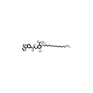 CCCCCCCCCCCCCCOc1ccc(CC(=O)Nc2cccc(-c3scc[n+]3C)c2)cc1C(C)=O.[Cl-]